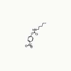 CCCCCNC(=O)Oc1ccc([N+](=O)[O-])cc1